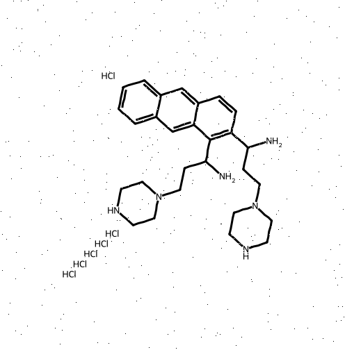 Cl.Cl.Cl.Cl.Cl.Cl.NC(CCN1CCNCC1)c1ccc2cc3ccccc3cc2c1C(N)CCN1CCNCC1